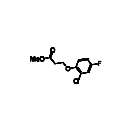 COC(=O)CCOc1c[c]c(F)cc1Cl